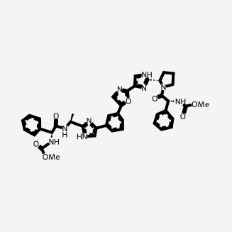 COC(=O)N[C@@H](C(=O)N[C@@H](C)c1nc(-c2cccc(-c3cnc(-c4c[nH]c([C@@H]5CCCN5C(=O)[C@H](NC(=O)OC)c5ccccc5)n4)o3)c2)c[nH]1)c1ccccc1